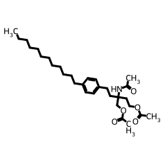 CCCCCCCCCCCCc1ccc(CCC(CCOC(C)=O)(COC(C)=O)NC(C)=O)cc1